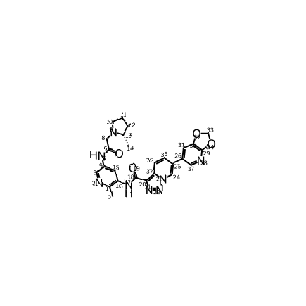 Cc1ncc(NC(=O)CN2CCC[C@@H]2C)cc1NC(=O)c1nnn2cc(-c3cnc4c(c3)OCO4)ccc12